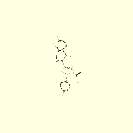 C=C(CC)N1N=C(c2c(C)c3ccc(C)nc3[nH]c2=O)CC1c1ccc(C)cc1